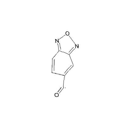 O=[C]c1ccc2nonc2c1